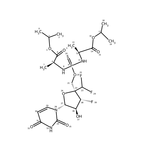 CC(C)OC(=O)[C@H](C)NP(=S)(N[C@@H](C)C(=O)OC(C)C)OC[C@@]1(C(F)F)O[C@@H](n2ccc(=O)[nH]c2=O)[C@H](O)[C@H]1F